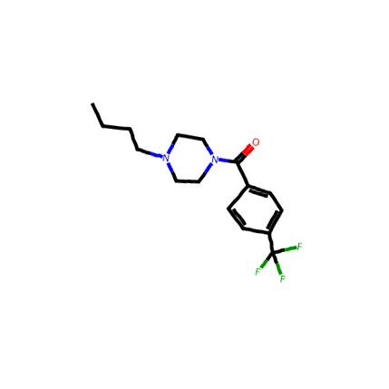 CCCCN1CCN(C(=O)c2ccc(C(F)(F)F)cc2)CC1